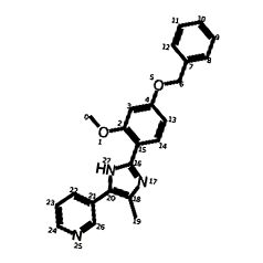 COc1cc(OCc2ccccc2)ccc1-c1nc(C)c(-c2cccnc2)[nH]1